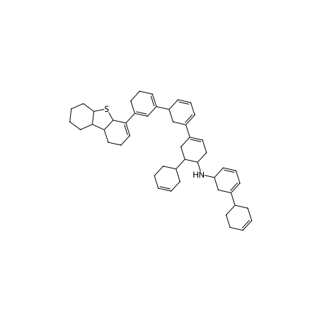 C1=CC(NC2CC=C(C3=CC=CC(C4=CCCC(C5=CCCC6C5SC5CCCCC56)=C4)C3)CC2C2CC=CCC2)CC(C2CC=CCC2)=C1